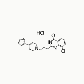 Cl.O=c1[nH]c(CCCN2CC=C(c3cccs3)CC2)nc2c(Cl)cccc12